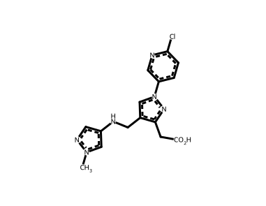 Cn1cc(NCc2cn(-c3ccc(Cl)nc3)nc2CC(=O)O)cn1